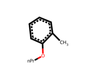 [CH2]CCOc1ccccc1C